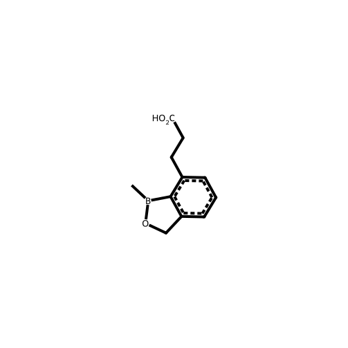 CB1OCc2cccc(CCC(=O)O)c21